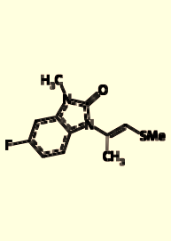 CS/C=C(\C)n1c(=O)n(C)c2cc(F)ccc21